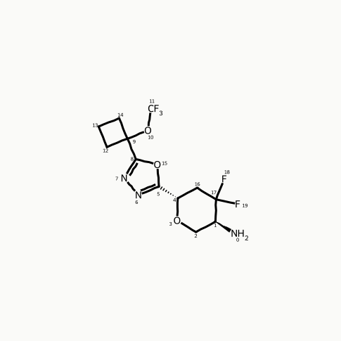 N[C@H]1CO[C@H](c2nnc(C3(OC(F)(F)F)CCC3)o2)CC1(F)F